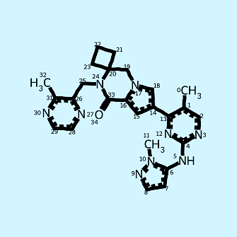 Cc1cnc(Nc2ccnn2C)nc1-c1cc2n(c1)CC1(CCC1)N(Cc1nccnc1C)C2=O